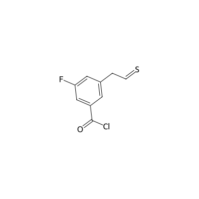 O=C(Cl)c1cc(F)cc(CC=S)c1